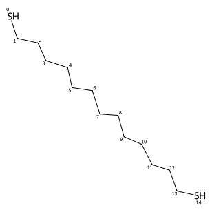 SCCCCCCCCCCCCCS